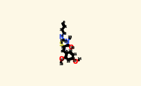 C=CCCN=C1S/C(=C/c2ccc(OC)cc2OC)C(=O)N1C